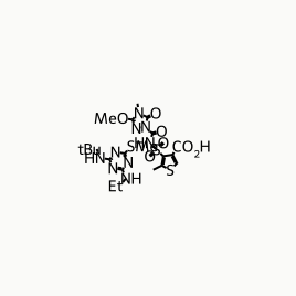 CCNc1nc(NC(C)(C)C)nc(SC)n1.COc1nn(C(=O)NS(=O)(=O)c2c(C(=O)O)csc2C)c(=O)n1C